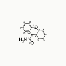 NC(=O)C1=C2CCC=CC2Oc2ccccc21